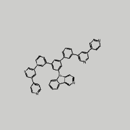 c1cc(-c2cncc(-c3ccncc3)c2)cc(-c2cc(-c3cccc(-c4cncc(-c5ccncc5)c4)c3)cc(-n3c4ccccc4c4cnccc43)c2)c1